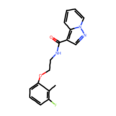 Cc1c(F)cccc1OCCNC(=O)c1cnn2ccccc12